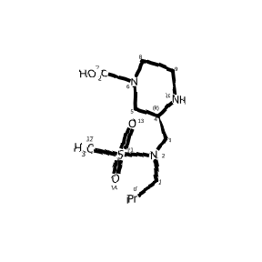 CC(C)CN(C[C@H]1CN(C(=O)O)CCN1)S(C)(=O)=O